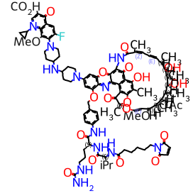 COc1c(N2CCC(NC3CCN(c4cc(OCc5ccc(NC(=O)[C@H](CCCNC(N)=O)NC(=O)[C@@H](NC(=O)CCCCCN6C(=O)C=CC6=O)C(C)C)cc5)c5nc6c7c8c9c(C)c(O)c7c(=O)c(c-6oc5c4)NC(=O)/C(C)=C\C=C\[C@H](C)[C@H](O)[C@@H](C)[C@@H](O)[C@@H](C)[C@H](OC(C)=O)[C@H](C)[C@@H](OC)/C=C/O[C@@](C)(O9)C8=O)CC3)CC2)c(F)cc2c(=O)c(C(=O)O)cn(C3CC3)c12